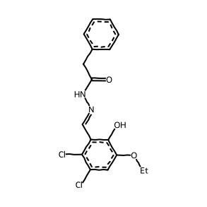 CCOc1cc(Cl)c(Cl)c(C=NNC(=O)Cc2ccccc2)c1O